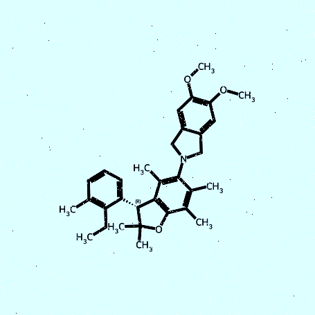 CCc1c(C)cccc1[C@@H]1c2c(C)c(N3Cc4cc(OC)c(OC)cc4C3)c(C)c(C)c2OC1(C)C